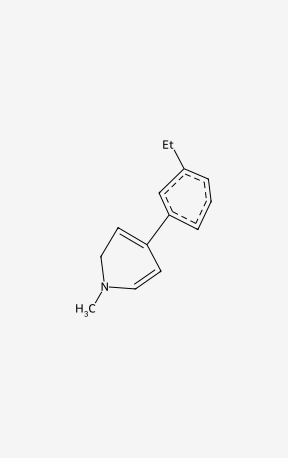 CCc1cccc(C2=CCN(C)C=C2)c1